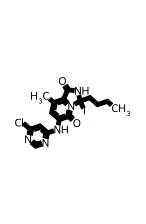 CCCCC1(I)NC(=O)c2c(C)cc(Nc3cc(Cl)ncn3)c(=O)n21